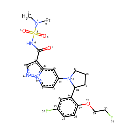 CCN(C)S(=O)(=O)NC(=O)c1cnn2ccc(N3CCCC3c3cc(F)ccc3OCCF)cc12